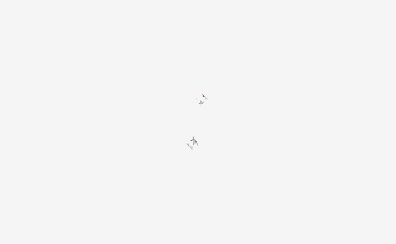 CCCCCCCCOC(=O)CCCCCCCCCCCCCCCCC(=O)OCCCCCCCC